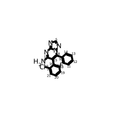 Nc1nc2ncnn2c(-c2ccccc2)c1-c1c(F)cccc1Cl